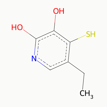 CCc1cnc(O)c(O)c1S